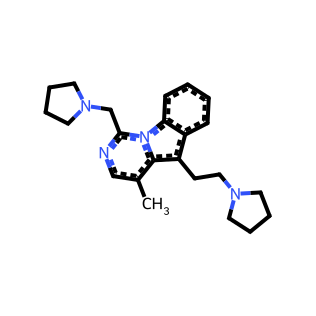 Cc1cnc(CN2CCCC2)n2c1c(CCN1CCCC1)c1ccccc12